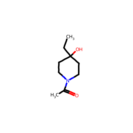 CCC1(O)CCN(C(C)=O)CC1